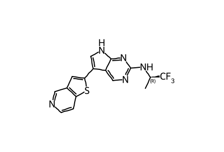 C[C@@H](Nc1ncc2c(-c3cc4cnccc4s3)c[nH]c2n1)C(F)(F)F